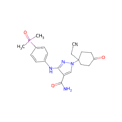 CP(C)(=O)c1ccc(Nc2nn(C3(CC#N)CCC(=O)CC3)cc2C(N)=O)cc1